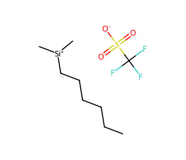 CCCCCC[Si+](C)C.O=S(=O)([O-])C(F)(F)F